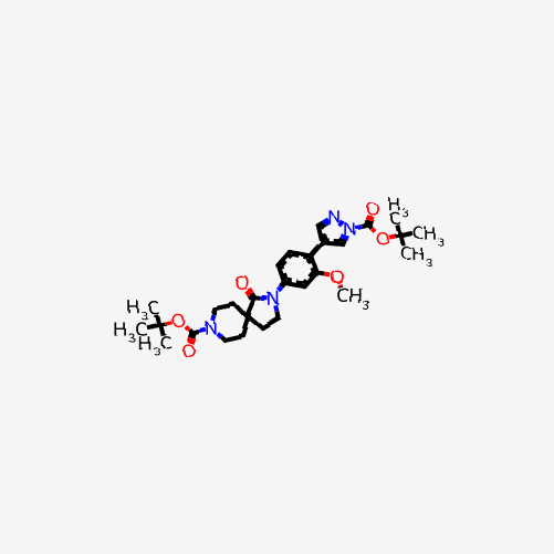 COc1cc(N2CCC3(CCN(C(=O)OC(C)(C)C)CC3)C2=O)ccc1-c1cnn(C(=O)OC(C)(C)C)c1